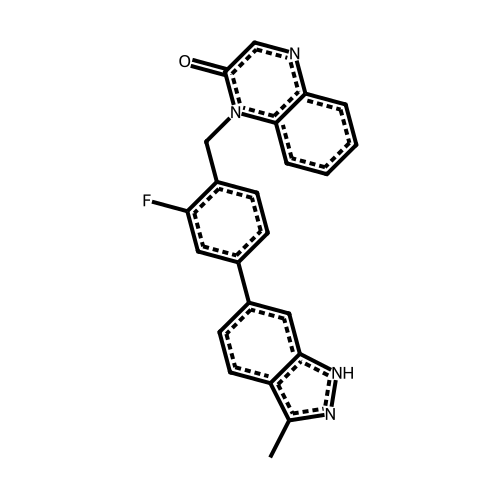 Cc1n[nH]c2cc(-c3ccc(Cn4c(=O)cnc5ccccc54)c(F)c3)ccc12